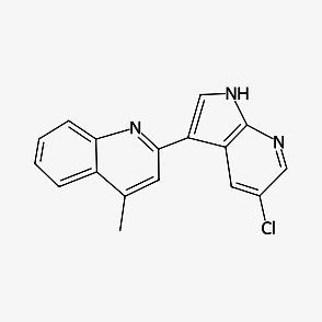 Cc1cc(-c2c[nH]c3ncc(Cl)cc23)nc2ccccc12